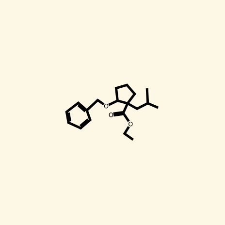 CCOC(=O)C1(CC(C)C)CCCC1OCc1ccccc1